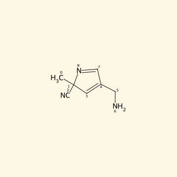 CC1(C#N)C=C(CN)C=N1